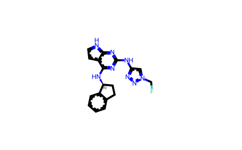 FCn1cc(Nc2nc(N[C@H]3CCc4ccccc43)c3cc[nH]c3n2)nn1